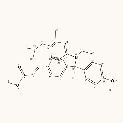 COC(=O)/C=C/c1ccc(C2(C)c3ccc(OC)cc3CCN2c2ccc(CC(C)C)c(C)c2)cc1